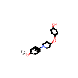 Oc1ccc(OC2CCN(c3ccc(OC(F)(F)F)cc3)CC2)cc1